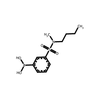 CCCCN(C)S(=O)(=O)c1cccc(B(O)O)c1